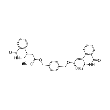 CC[C@H](C)[C@@H]1NC(=O)c2ccccc2/C1=C/C(=O)OCc1ccc(COC(=O)/C=C2/c3ccccc3C(=O)N[C@H]2[C@@H](C)CC)cc1